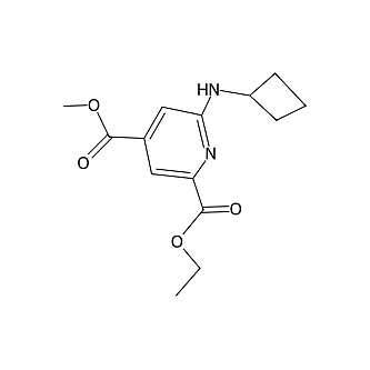 CCOC(=O)c1cc(C(=O)OC)cc(NC2CCC2)n1